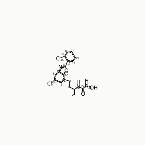 CC(CCc1cc(Cl)cc2nc(-c3ccccc3Cl)oc12)NC(=O)NO